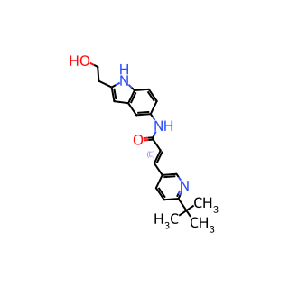 CC(C)(C)c1ccc(/C=C/C(=O)Nc2ccc3[nH]c(CCO)cc3c2)cn1